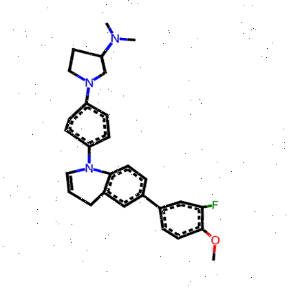 COc1ccc(-c2ccc3c(c2)CC=CN3c2ccc(N3CCC(N(C)C)C3)cc2)cc1F